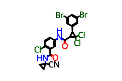 N#CC1(NC(=O)c2cc(NC(=O)C3C(c4cc(Br)cc(Br)c4)C3(Cl)Cl)ccc2Cl)CC1